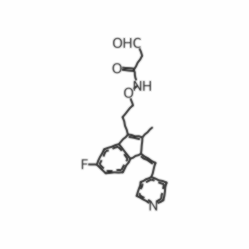 CC1=C(CCONC(=O)CC=O)c2cc(F)ccc2C1=Cc1ccncc1